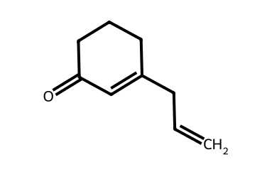 C=CCC1=CC(=O)CCC1